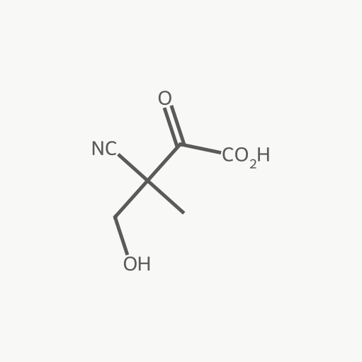 CC(C#N)(CO)C(=O)C(=O)O